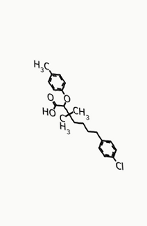 Cc1ccc(OC(C(=O)O)C(C)(C)CCCCc2ccc(Cl)cc2)cc1